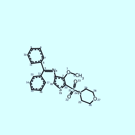 COc1c(N=C(c2ccccc2)c2ccccc2)csc1S(=O)(=O)N1CCOCC1